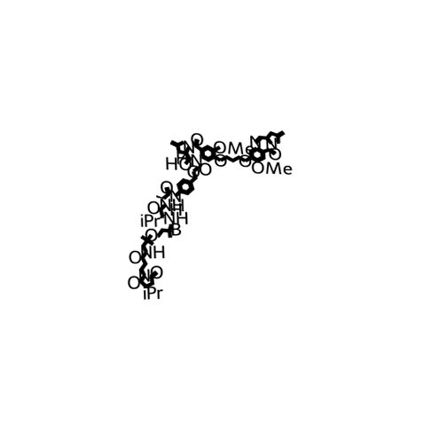 C=C1CC2C=Nc3cc(OCCCOc4cc5c(cc4OC)C(=O)N4CC(=C)C[C@H]4C(O)N5C(=O)OCc4ccc(NC(=O)[C@H](C)NC(=O)[C@@H](NC5=BC5(C)CCOC(C)(C)CNC(=O)CCN5C(=O)CC(C(C)C)C5=O)C(C)C)cc4)c(OC)cc3C(=O)N2C1